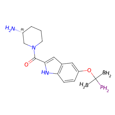 BC(B)(P)Oc1ccc2[nH]c(C(=O)N3CCC[C@@H](N)C3)cc2c1